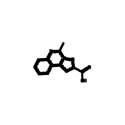 Cc1nc2ccccc2c2cc(C(=O)O)nn12